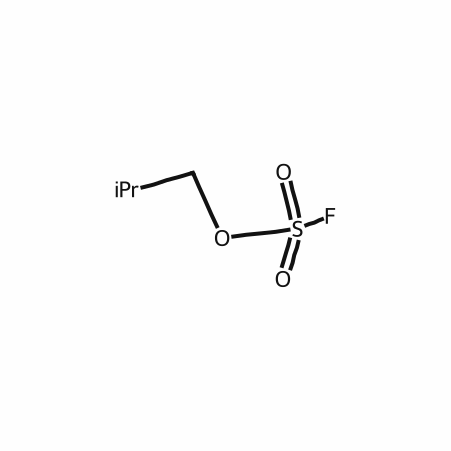 CC(C)COS(=O)(=O)F